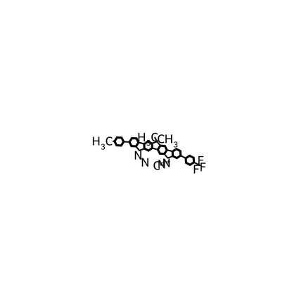 [C-]#[N+]/N=C1/c2cc(-c3ccc(C(F)(F)F)cc3)ccc2-c2cc3c(cc21)-c1cc2c(cc1C3(C)C)-c1ccc(-c3ccc(C)cc3)cc1/C2=N/C#N